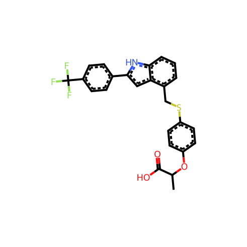 CC(Oc1ccc(SCc2cccc3[nH]c(-c4ccc(C(F)(F)F)cc4)cc23)cc1)C(=O)O